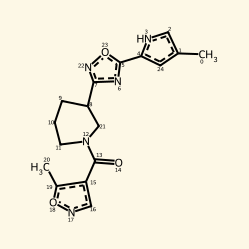 Cc1c[nH]c(-c2nc(C3CCCN(C(=O)c4cnoc4C)C3)no2)c1